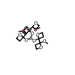 COC1(C2(OB(OC3(C4(OC)CCO4)CCO3)OC3(C4(OC)CCO4)CCO3)CCO2)CCO1